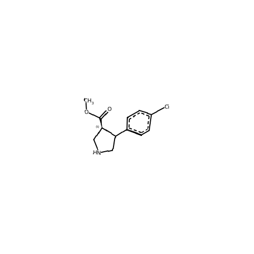 COC(=O)[C@@H]1CNCC1c1ccc(Cl)cc1